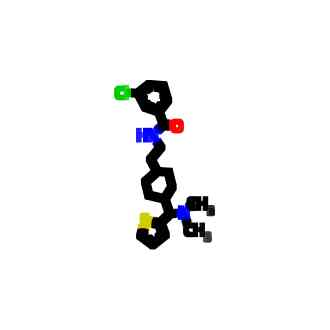 CN(C)C(c1cccs1)C1CCC(CCNC(=O)c2cccc(Cl)c2)CC1